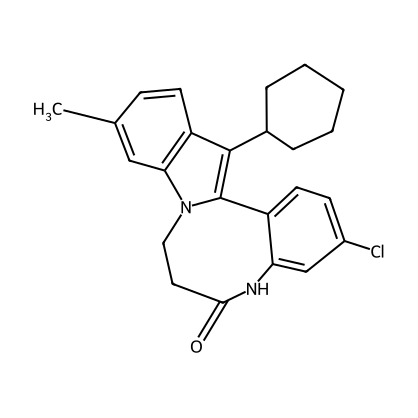 Cc1ccc2c(C3CCCCC3)c3n(c2c1)CCC(=O)Nc1cc(Cl)ccc1-3